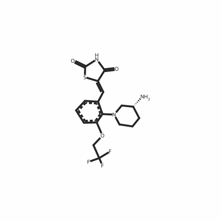 N[C@@H]1CCCN(c2c(C=C3SC(=O)NC3=O)cccc2OCC(F)(F)F)C1